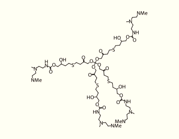 CNCCN(C)CCNC(=O)OCC(O)CCSCCC(=O)COC(OCC(=O)CCSCCC(O)COC(=O)NCCN(C)CCNC)(OCC(=O)CCSCCC(O)COC(=O)NCCN(C)CCNC)OCC(=O)CCSCCC(O)COC(=O)NCCN(C)CCNC